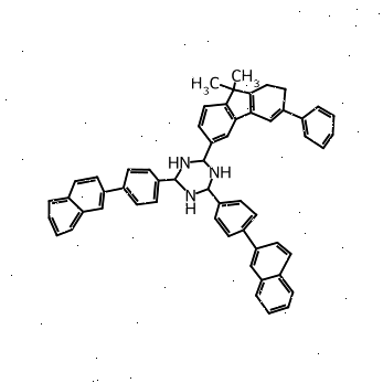 CC1(C)C2=C(C=C(c3ccccc3)CC2)c2cc(C3NC(c4ccc(-c5ccc6ccccc6c5)cc4)NC(c4ccc(-c5ccc6ccccc6c5)cc4)N3)ccc21